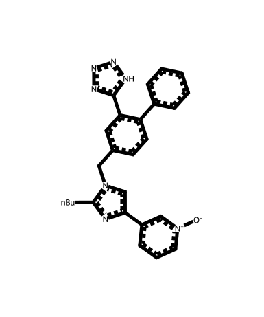 CCCCc1nc(-c2ccc[n+]([O-])c2)cn1Cc1ccc(-c2ccccc2)c(-c2nnn[nH]2)c1